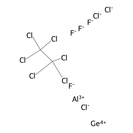 ClC(Cl)(Cl)C(Cl)(Cl)Cl.[Al+3].[Cl-].[Cl-].[Cl-].[F-].[F-].[F-].[F-].[Ge+4]